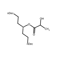 CCCCCCCCCCCCN(CCCCCCCCCCCC)OC(=O)C(C)O